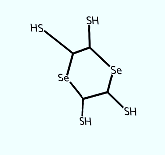 SC1[Se]C(S)C(S)[Se]C1S